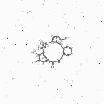 O=C1NCc2ccccc2-c2c(F)ccc(c2F)NS(=O)(=O)c2cc1cc(Cl)c2O